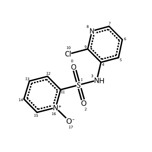 O=S(=O)(Nc1cccnc1Cl)c1cccc[n+]1[O-]